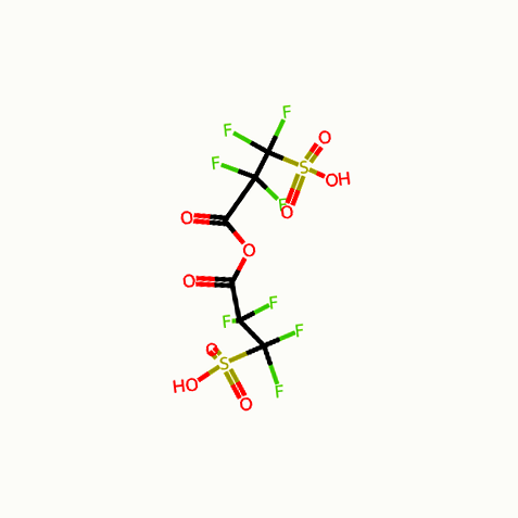 O=C(OC(=O)C(F)(F)C(F)(F)S(=O)(=O)O)C(F)(F)C(F)(F)S(=O)(=O)O